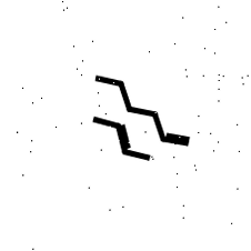 C=CCCCC.CC=CC